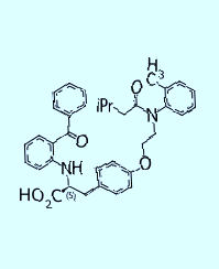 Cc1ccccc1N(CCOc1ccc(C[C@H](Nc2ccccc2C(=O)c2ccccc2)C(=O)O)cc1)C(=O)CC(C)C